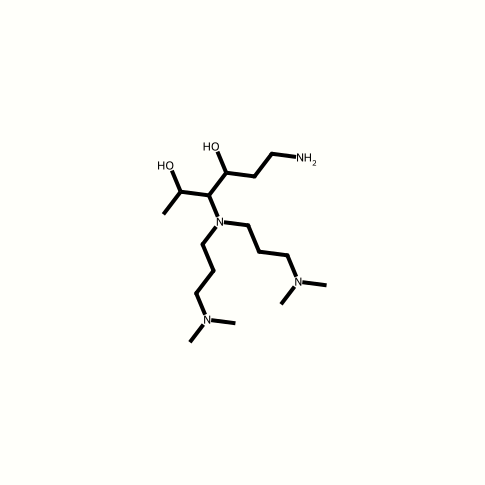 CC(O)C(C(O)CCN)N(CCCN(C)C)CCCN(C)C